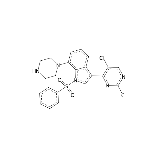 O=S(=O)(c1ccccc1)n1cc(-c2nc(Cl)ncc2Cl)c2cccc(N3CCNCC3)c21